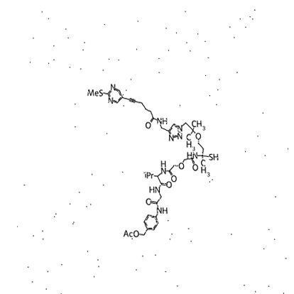 CSc1ncc(C#CCCCC(=O)NCc2cn(CC(C)(C)OCCC(C)(S)NC(=O)COCC(=O)NC(C(=O)NCC(=O)Nc3ccc(COC(C)=O)cc3)C(C)C)nn2)cn1